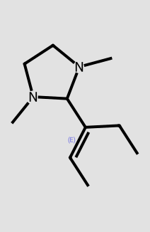 C/C=C(\CC)C1N(C)CCN1C